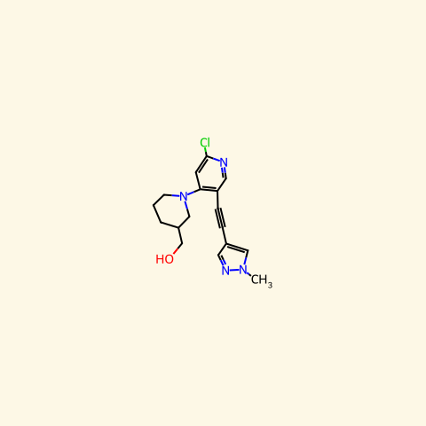 Cn1cc(C#Cc2cnc(Cl)cc2N2CCCC(CO)C2)cn1